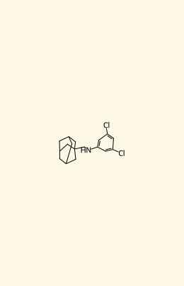 Clc1cc(Cl)cc(NCC23CC4CC(CC(C4)C2)C3)c1